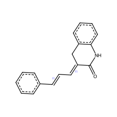 O=C1Nc2ccccc2C/C1=C\C=C\c1ccccc1